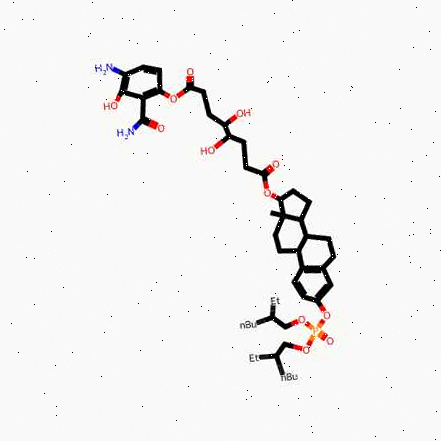 CCCCC(CC)COP(=O)(OCC(CC)CCCC)Oc1ccc2c(c1)CCC1C2CCC2(C)C(OC(=O)CCC(O)C(O)CCC(=O)Oc3ccc(N)c(O)c3C(N)=O)CCC12